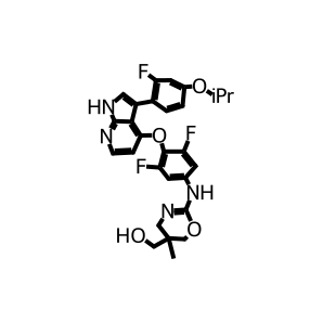 CC(C)Oc1ccc(-c2c[nH]c3nccc(Oc4c(F)cc(NC5=NCC(C)(CO)CO5)cc4F)c23)c(F)c1